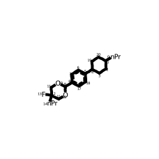 CCCC1CCC(c2ccc(C3OCC(F)(CCC)CO3)cc2)CC1